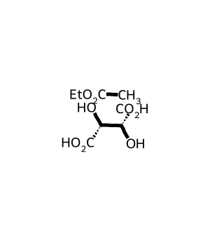 CCOC(C)=O.O=C(O)[C@H](O)[C@@H](O)C(=O)O